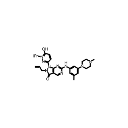 C=CCn1c(=O)c2cnc(Nc3cc(C)cc(N4CCN(C)CC4)c3)nc2n1-c1ccc(O)[n+](C(C)C)n1